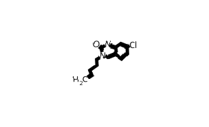 C=CCCCn1cc2ccc(Cl)cc2nc1=O